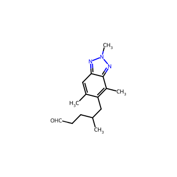 Cc1cc2nn(C)nc2c(C)c1CC(C)CCC=O